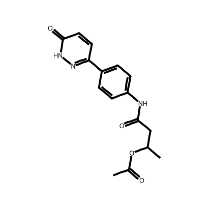 CC(=O)OC(C)CC(=O)Nc1ccc(-c2ccc(=O)[nH]n2)cc1